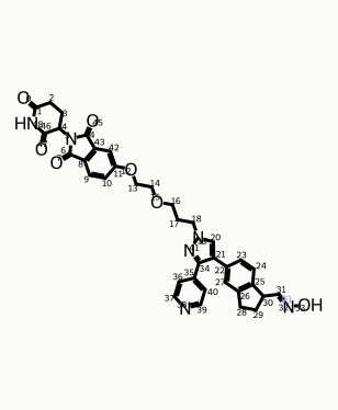 O=C1CCC(N2C(=O)c3ccc(OCCOCCCn4cc(-c5ccc6c(c5)CCC6/C=N/O)c(-c5ccncc5)n4)cc3C2=O)C(=O)N1